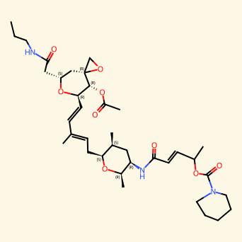 CCCNC(=O)C[C@@H]1C[C@@]2(CO2)[C@H](OC(C)=O)[C@@H](C=CC(C)=CC[C@@H]2O[C@H](C)[C@H](NC(=O)C=CC(C)OC(=O)N3CCCCC3)C[C@@H]2C)O1